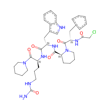 NC(=O)NCCC[C@H](NC(=O)[C@H](Cc1c[nH]c2ccccc12)NC(=O)[C@@H]1CCCCN1C(=O)[C@H](Cc1ccccc1)NC(=O)CCl)C(=O)N1CCCCC1